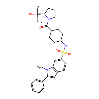 Cn1c(-c2ccccc2)cc2ccc(S(=O)(=O)NC3CCC(C(=O)N4CCC[C@@H]4C(C)(C)O)CC3)cc21